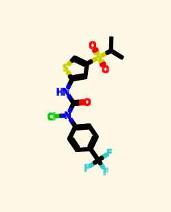 CC(C)S(=O)(=O)c1csc(NC(=O)N(Cl)c2ccc(C(F)(F)F)cc2)c1